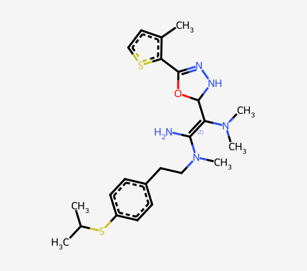 Cc1ccsc1C1=NNC(/C(=C(\N)N(C)CCc2ccc(SC(C)C)cc2)N(C)C)O1